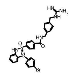 N=C(N)NCc1ccc(CNC(=O)c2ccc(S(=O)(=O)Nc3ccccc3Oc3ccc(Br)cc3)cc2)cc1